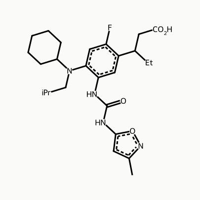 CCC(CC(=O)O)c1cc(NC(=O)Nc2cc(C)no2)c(N(CC(C)C)C2CCCCC2)cc1F